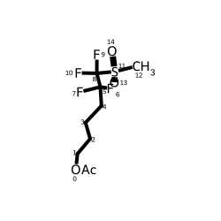 CC(=O)OCCCCC(F)(F)C(F)(F)S(C)(=O)=O